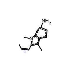 C/C=C\c1c(C)c2ccc(N)cc2n1C